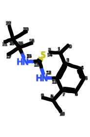 CC(C)c1cccc(C(C)C)c1NC(=S)NC(C)(C)C(C)(C)C